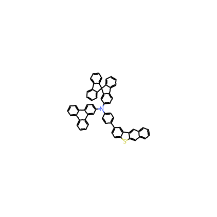 c1ccc2c(c1)-c1ccccc1C21c2ccccc2-c2ccc(N(c3ccc(-c4ccc5sc6cc7ccccc7cc6c5c4)cc3)c3ccc4c5ccccc5c5ccccc5c4c3)cc21